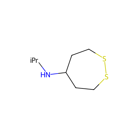 CC(C)NC1CCSSCC1